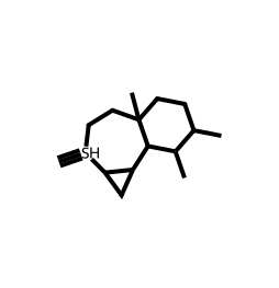 C#[SH]1CCC2(C)CCC(C)C(C)C2C2CC21